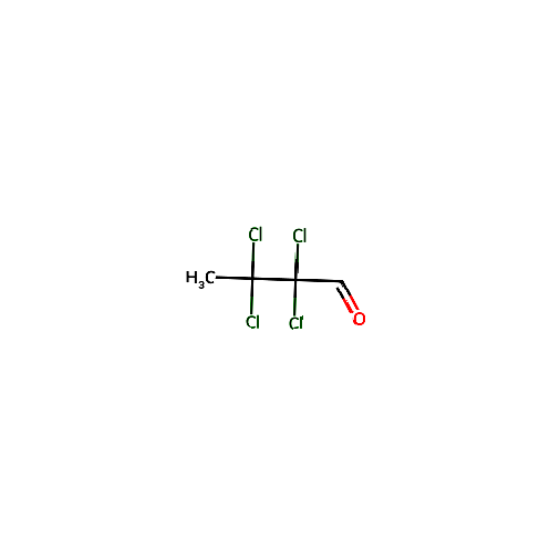 CC(Cl)(Cl)C(Cl)(Cl)C=O